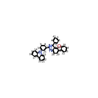 c1ccc(-c2nc(-c3cccc(-n4c5ccccc5c5ccccc54)c3)nc3ccc4c5ccccc5oc4c23)cc1